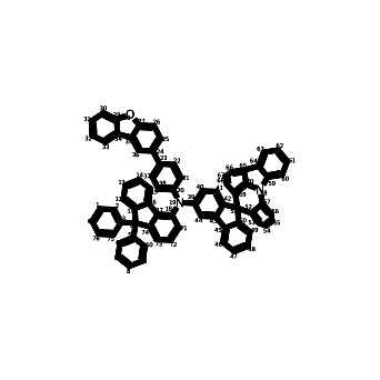 c1ccc(C2(c3ccccc3)c3ccccc3-c3c(N(c4ccc(-c5ccc6oc7ccccc7c6c5)cc4)c4ccc5c(c4)-c4ccccc4C54c5ccccc5-n5c6ccccc6c6cccc4c65)cccc32)cc1